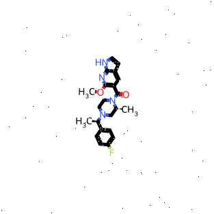 COc1nc2[nH]ccc2cc1C(=O)N1CCN([C@H](C)c2ccc(F)cc2)C[C@H]1C